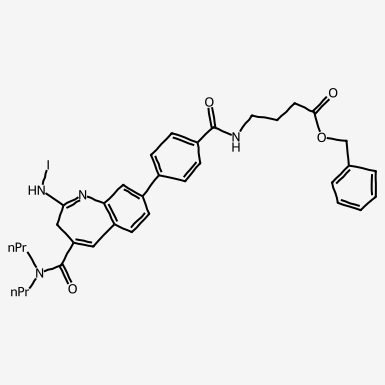 CCCN(CCC)C(=O)C1=Cc2ccc(-c3ccc(C(=O)NCCCC(=O)OCc4ccccc4)cc3)cc2N=C(NI)C1